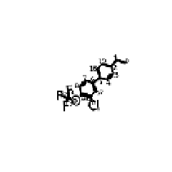 CCc1ccc(-c2ccc(OC(F)(F)F)c(Cl)c2)cc1